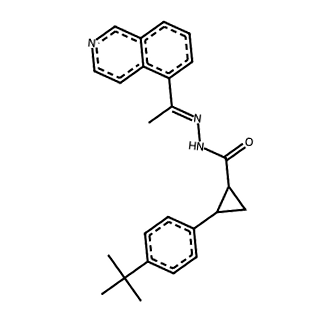 C/C(=N\NC(=O)C1CC1c1ccc(C(C)(C)C)cc1)c1cccc2cnccc12